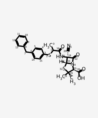 CC(Sc1ccc(Cc2ccccc2)cc1)C(=O)N[C@@]1(C#N)C(=O)N2[C@@H](C(=O)O)C(C)(C)S[C@@H]21